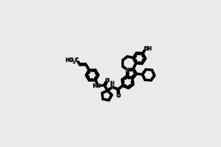 O=C(O)/C=C/c1ccc(NC(=O)C2(NC(=O)c3ccc4c(C5CCCCC5)c5n(c4c3)CCCc3cc(O)ccc3-5)CCCC2)cc1